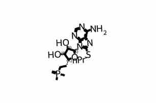 C=P(C)(C)CC[C@H]1O[C@@H](n2c(SCCC)nc3c(N)ncnc32)[C@H](O)[C@@H]1O